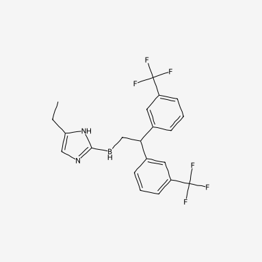 CCc1cnc(BCC(c2cccc(C(F)(F)F)c2)c2cccc(C(F)(F)F)c2)[nH]1